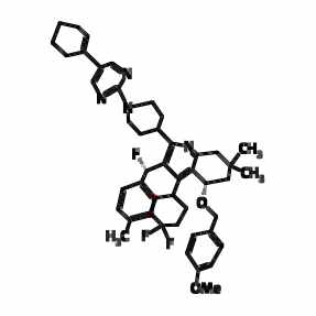 COc1ccc(CO[C@H]2CC(C)(C)Cc3nc(C4CCN(c5ncc(C6=CCCCC6)cn5)CC4)c([C@@H](F)c4ccc(C)cc4)c(C4CCC(F)(F)CC4)c32)cc1